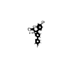 COC(=O)c1[nH]c2cc(-c3ccc(F)cc3)ccc2c1-c1ccc(O)cc1